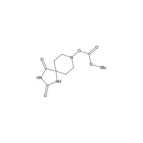 CC(C)(C)OC(=O)ON1CCC2(CC1)NC(=O)NC2=O